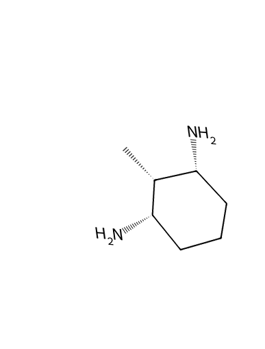 C[C@@H]1[C@H](N)CCC[C@@H]1N